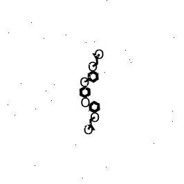 c1cc(OCC2CO2)cc(Oc2ccc(Oc3cccc(OCC4CO4)c3)cc2)c1